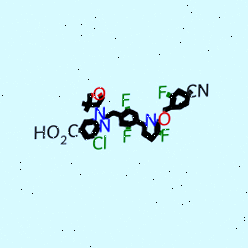 CC1(C)COC[C@H]1n1c(Cc2cc(F)c(-c3ccc(F)c(OCc4ccc(C#N)cc4F)n3)cc2F)nc2c(Cl)cc(C(=O)O)cc21